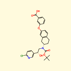 CC(C)(C)OC(=O)N(C[C@H](O)c1ccc(Cl)nc1)[C@H]1CCc2ccc(Oc3cccc(C(=O)O)c3)cc2C1